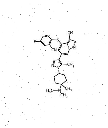 Cc1c(-c2cc(Sc3ccc(F)cc3C#N)c3c(C#N)cnn3c2)cnn1[C@H]1CC[C@@](C)(N(C)C)CC1